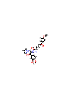 CC(C)Oc1ccc(C(=O)CCCCC(=O)N[C@H](CN2CCCC2)[C@H](O)c2ccc3c(c2)OCCO3)cc1